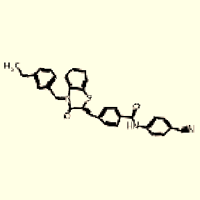 CCc1cccc(CN2C(=O)/C(=C/c3ccc(C(=O)Nc4ccc(C#N)cc4)cc3)Sc3ccccc32)c1